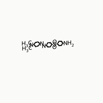 CN(C)c1ccc(N=Nc2ccc(S(=O)(=O)c3ccc(N)cc3)cc2)cc1